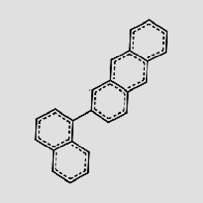 [c]1c(-c2cccc3ccccc23)ccc2cc3ccccc3cc12